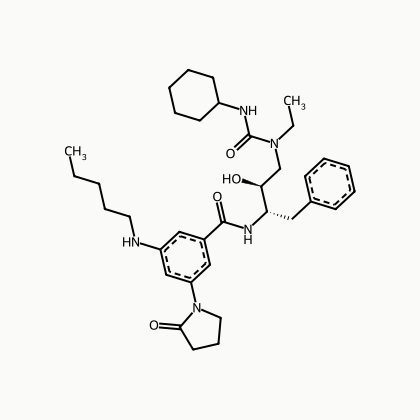 CCCCCNc1cc(C(=O)N[C@@H](Cc2ccccc2)[C@@H](O)CN(CC)C(=O)NC2CCCCC2)cc(N2CCCC2=O)c1